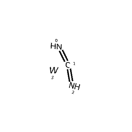 N=C=N.[W]